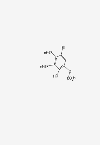 CCCCCCc1c(Br)cc(OC(=O)O)c(O)c1CCCCCC